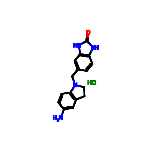 Cl.Nc1ccc2c(c1)CCN2Cc1ccc2[nH]c(=O)[nH]c2c1